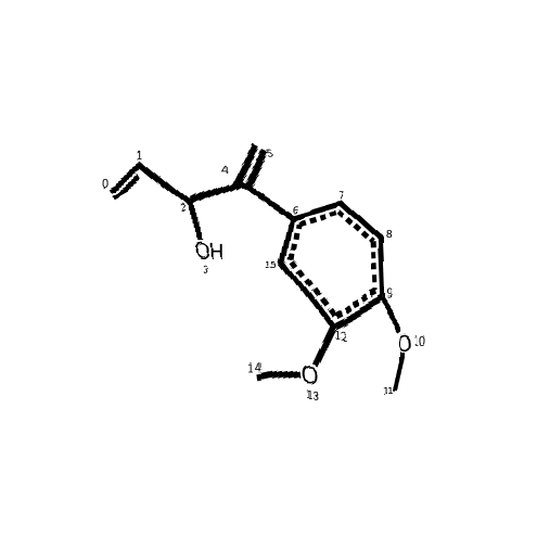 C=CC(O)C(=C)c1ccc(OC)c(OC)c1